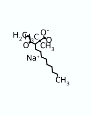 C=CC(=O)C(CCCCCCCCC)C(C)(C)C(=O)[O-].[Na+]